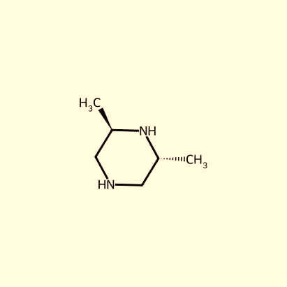 C[C@@H]1CNC[C@@H](C)N1